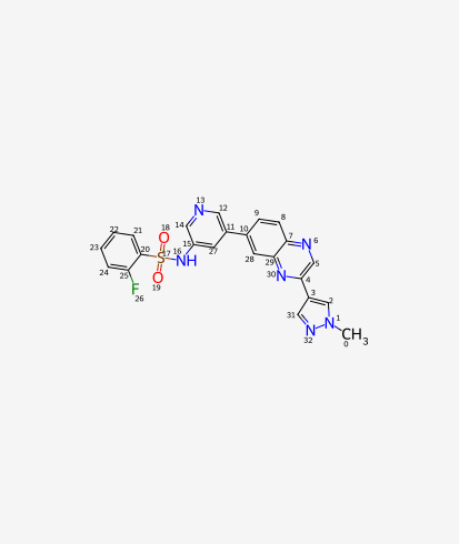 Cn1cc(-c2cnc3ccc(-c4cncc(NS(=O)(=O)c5ccccc5F)c4)cc3n2)cn1